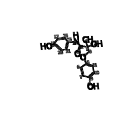 CC(O)(COc1ccc(O)cc1)C(=O)Nc1ccc(O)cc1